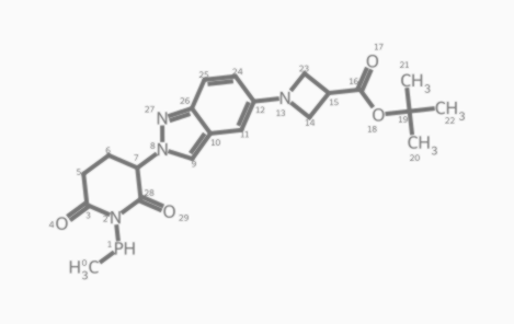 CPN1C(=O)CCC(n2cc3cc(N4CC(C(=O)OC(C)(C)C)C4)ccc3n2)C1=O